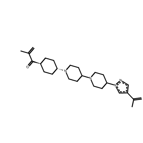 C=C(C)c1cnn(C2CCN(C3CCN([C@H]4CC[C@H](C(=O)C(=C)C)CC4)CC3)CC2)c1